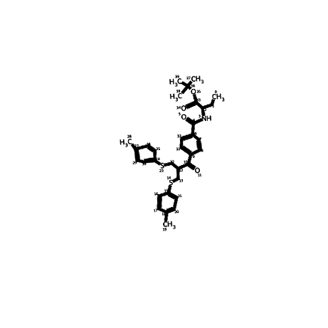 CCC(NC(=O)c1ccc(C(=O)C(CSc2ccc(C)cc2)CSc2ccc(C)cc2)cc1)C(=O)OC(C)(C)C